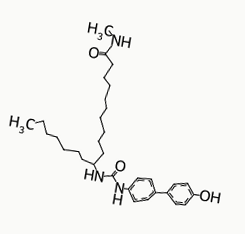 CCCCCCCC(CCCCCCCCCC(=O)NC)NC(=O)Nc1ccc(-c2ccc(O)cc2)cc1